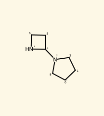 [CH]1CCN(C2CCN2)C1